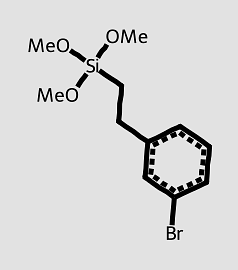 CO[Si](CCc1cccc(Br)c1)(OC)OC